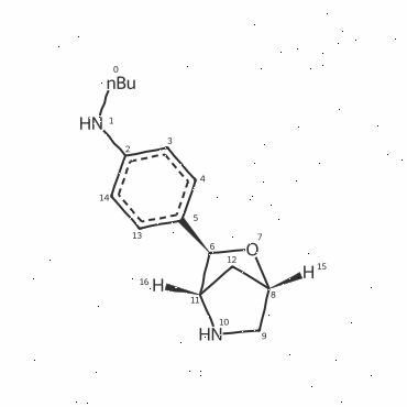 CCCCNc1ccc([C@H]2O[C@@H]3CN[C@H]2C3)cc1